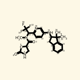 CN(C(=O)C1CNC(=O)O1)C(c1ccc(NC2Cc3ccccc3C2(C)C)cn1)C(F)(F)F